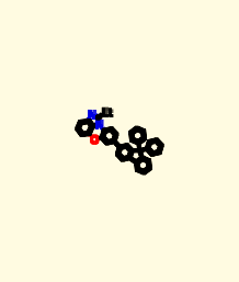 CCc1nc2cccc3c2n1-c1ccc(-c2ccc4c(c2)C(c2ccccc2)(c2ccccc2)c2ccccc2-4)cc1O3